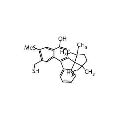 CSc1cc2c(O)cc3c(c2cc1CS)-c1ccccc1C31C(C)(C)CCC1(C)C